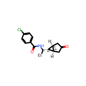 CCC(NC(=O)c1ccc(Cl)cc1)[C@H]1[C@@H]2CC(=O)C[C@@H]21